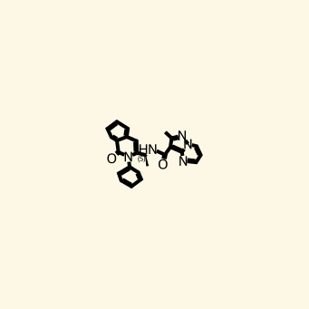 Cc1nn2cccnc2c1C(=O)N[C@@H](C)c1cc2ccccc2c(=O)n1-c1ccccc1